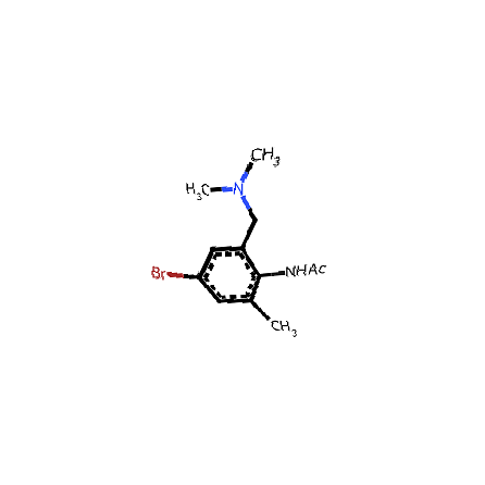 CC(=O)Nc1c(C)cc(Br)cc1CN(C)C